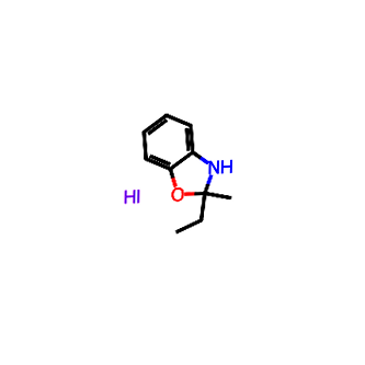 CCC1(C)Nc2ccccc2O1.I